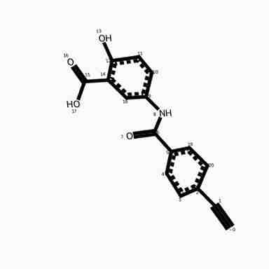 [C]#Cc1ccc(C(=O)Nc2ccc(O)c(C(=O)O)c2)cc1